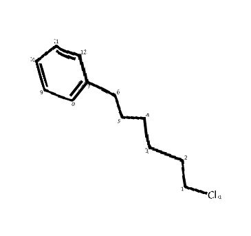 ClCCCCCCc1cc[c]cc1